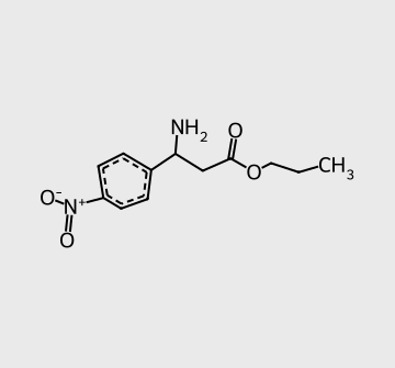 CCCOC(=O)CC(N)c1ccc([N+](=O)[O-])cc1